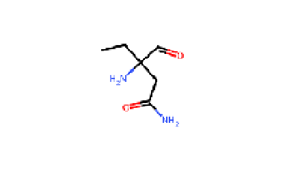 CCC(N)(C=O)CC(N)=O